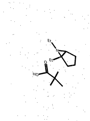 CC(C)(C)C(=O)O.CCN1C2CCCC21CC